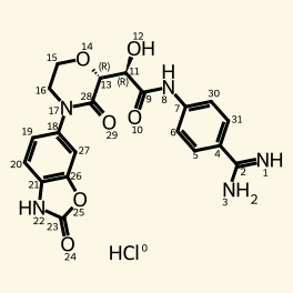 Cl.N=C(N)c1ccc(NC(=O)[C@H](O)[C@H]2OCCN(c3ccc4[nH]c(=O)oc4c3)C2=O)cc1